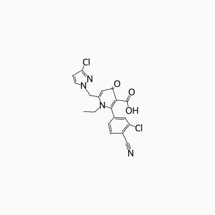 CCn1c(Cn2ccc(Cl)n2)cc(=O)c(C(=O)O)c1-c1ccc(C#N)c(Cl)c1